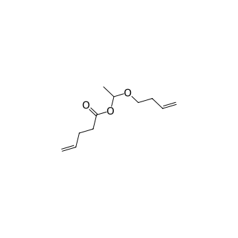 C=CCCOC(C)OC(=O)CCC=C